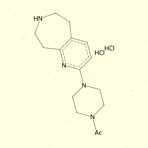 CC(=O)N1CCN(c2ccc3c(n2)CCNCC3)CC1.Cl.Cl